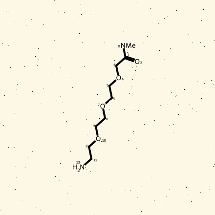 CNC(=O)COCCOCCOCCN